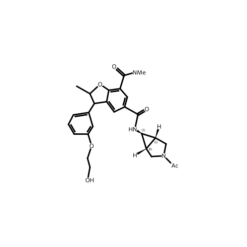 CNC(=O)c1cc(C(=O)N[C@H]2[C@@H]3CN(C(C)=O)C[C@@H]32)cc2c1OC(C)C2c1cccc(OCCO)c1